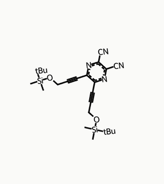 CC(C)(C)[Si](C)(C)OCC#Cc1nc(C#N)c(C#N)nc1C#CCO[Si](C)(C)C(C)(C)C